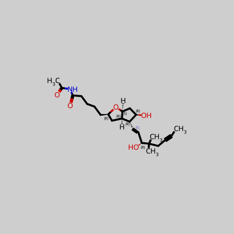 CC#CCC(C)(C)[C@H](O)/C=C/[C@@H]1[C@H]2C[C@@H](CCCCC(=O)NC(C)=O)O[C@H]2C[C@H]1O